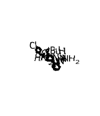 CC(C)(C)Sc1ccc(-c2ccccc2/C(N)=N/NN)cc1NC(=O)Cc1ccc(Cl)cc1